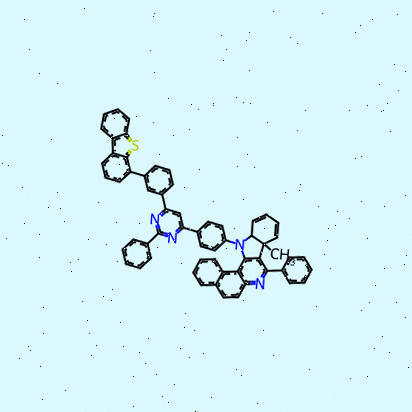 CC12C=CC=CC1N(c1ccc(-c3cc(-c4cccc(-c5cccc6c5sc5ccccc56)c4)nc(-c4ccccc4)n3)cc1)c1c2c(-c2ccccc2)nc2ccc3ccccc3c12